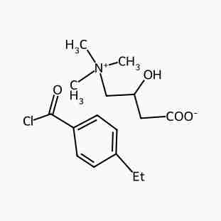 CCc1ccc(C(=O)Cl)cc1.C[N+](C)(C)CC(O)CC(=O)[O-]